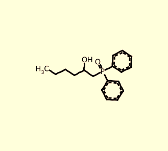 CCCCC(O)CP(=O)(c1ccccc1)c1ccccc1